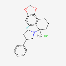 CC1(N2CCC(c3ccccc3)C2)CCCc2c3c(cc(F)c21)OCO3.Cl